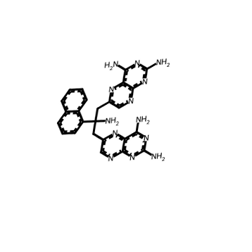 Nc1nc(N)c2nc(CC(N)(Cc3cnc4nc(N)nc(N)c4n3)c3cccc4ccccc34)cnc2n1